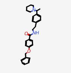 CC(c1ccc(CCNC(=O)c2ccc(OCc3ccccc3)cc2)cc1)N1CCCCC1